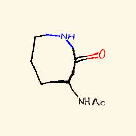 CC(=O)NC1CCCNC1=O